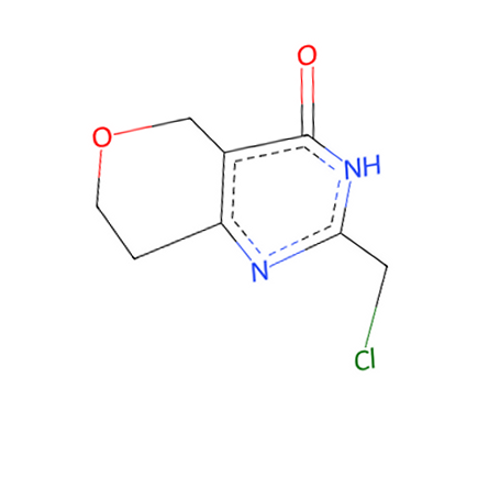 O=c1[nH]c(CCl)nc2c1COCC2